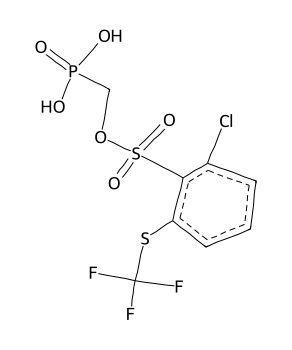 O=P(O)(O)COS(=O)(=O)c1c(Cl)cccc1SC(F)(F)F